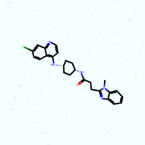 Cn1c(CCC(=O)N[C@H]2CC[C@@H](Nc3ccnc4cc(Cl)ccc34)CC2)nc2ccccc21